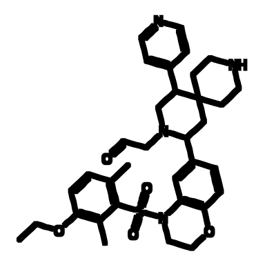 CCOc1ccc(C)c(S(=O)(=O)N2CCOc3ccc(C4CC5(CCNCC5)C(c5ccncc5)CN4CC=O)cc32)c1C